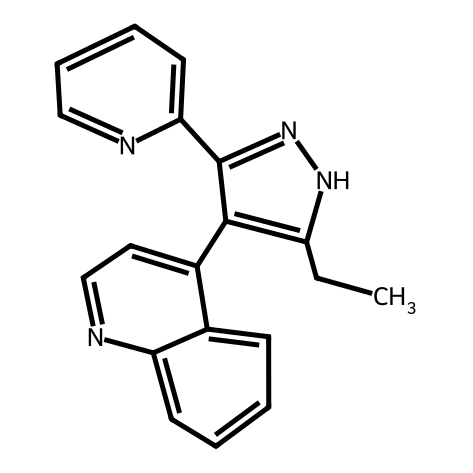 CCc1[nH]nc(-c2ccccn2)c1-c1ccnc2ccccc12